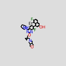 CCc1c(F)ccc2cc(O)cc(-c3ccc4c(N5CC6CCC(C5)N6)nc(OCC5(CN6CC7COCC7C6)CC5)nc4c3F)c12